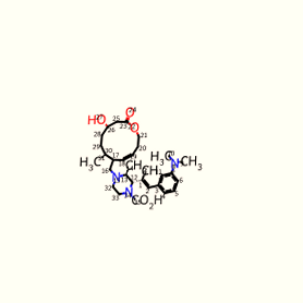 C/C(=C\c1cccc(N(C)C)c1)[C@H]1[C@H](C)N(CC2C=CCCOC(=O)C[C@H](O)CC[C@@H]2C)CCN1C(=O)O